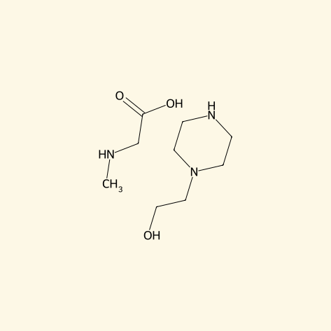 CNCC(=O)O.OCCN1CCNCC1